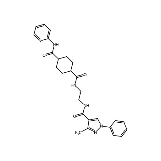 O=C(NCCNC(=O)C1CCC(C(=O)Nc2ccccn2)CC1)c1cn(-c2ccccc2)nc1C(F)(F)F